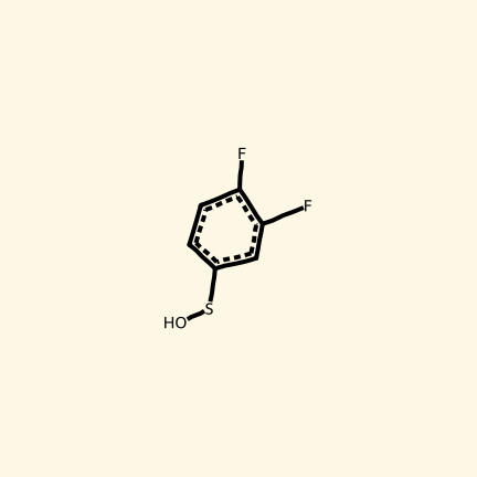 OSc1ccc(F)c(F)c1